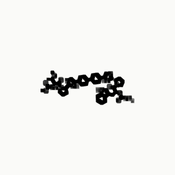 COC(=O)N[C@H](C(=O)N1CCCC1c1ncc(-c2ccc(-c3ccc(-c4cnc([C@@H]5CCCN5C(=O)[C@H](Cc5c[nH]c6ccccc56)OC(N)=O)[nH]4)cc3)cc2)[nH]1)[C@@H](C)OC